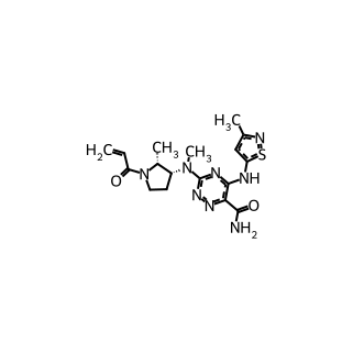 C=CC(=O)N1CC[C@@H](N(C)c2nnc(C(N)=O)c(Nc3cc(C)ns3)n2)[C@H]1C